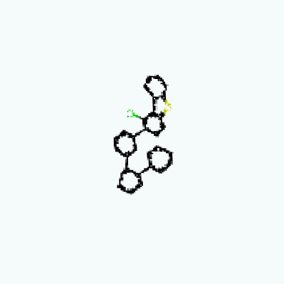 Clc1c(-c2cccc(-c3ccccc3-c3ccccc3)c2)ccc2sc3ccccc3c12